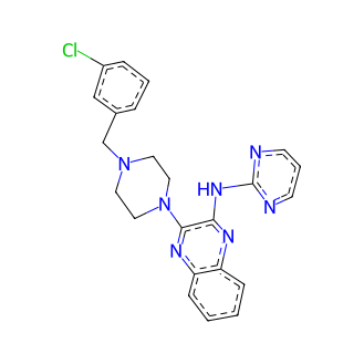 Clc1cccc(CN2CCN(c3nc4ccccc4nc3Nc3ncccn3)CC2)c1